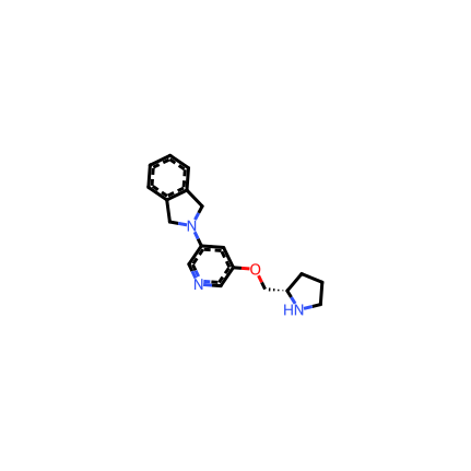 c1ccc2c(c1)CN(c1cncc(OC[C@@H]3CCCN3)c1)C2